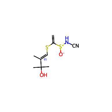 C=C(S/C=C(\C)C(C)(C)O)[S+]([O-])NC#N